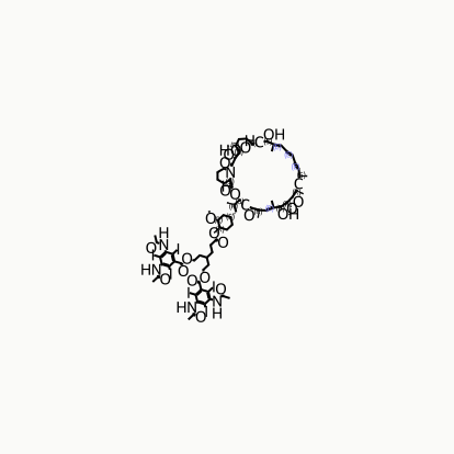 CO[C@@H]1C[C@H](C[C@@H](C)[C@@H]2CC(=O)[C@H](C)/C=C(\C)[C@@H](O)[C@@H](OC)C(=O)[C@H](C)C[C@H](C)/C=C/C=C/C=C(\C)[C@@H](O)C[C@@H]3CC[C@@H](C)[C@@](O)(O3)C(=O)C(=O)N3CCCC[C@H]3C(=O)O2)CC[C@H]1OC(=O)CCC(CCOC(=O)c1c(I)c(NC(C)=O)c(I)c(NC(C)=O)c1I)CCOC(=O)c1c(I)c(NC(C)=O)c(I)c(NC(C)=O)c1I